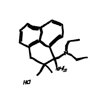 CCN(CC)C1(N)c2cccc3cccc(c23)CC1(C)C.Cl